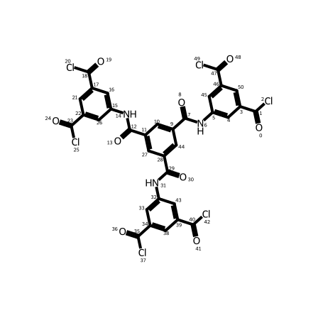 O=C(Cl)c1cc(NC(=O)c2cc(C(=O)Nc3cc(C(=O)Cl)cc(C(=O)Cl)c3)cc(C(=O)Nc3cc(C(=O)Cl)cc(C(=O)Cl)c3)c2)cc(C(=O)Cl)c1